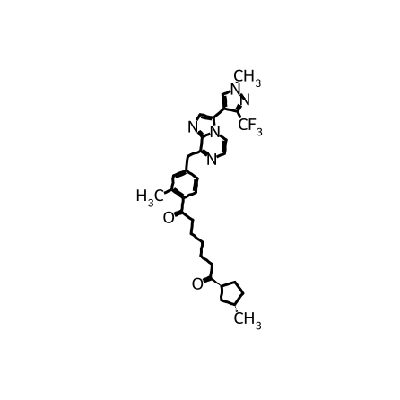 Cc1cc(Cc2nccn3c(-c4cn(C)nc4C(F)(F)F)cnc23)ccc1C(=O)CCCCCC(=O)[C@H]1CC[C@H](C)C1